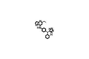 CCc1cc(Nc2ccc(C(c3ccccc3)c3nnn[nH]3)cc2)n2nccc2n1